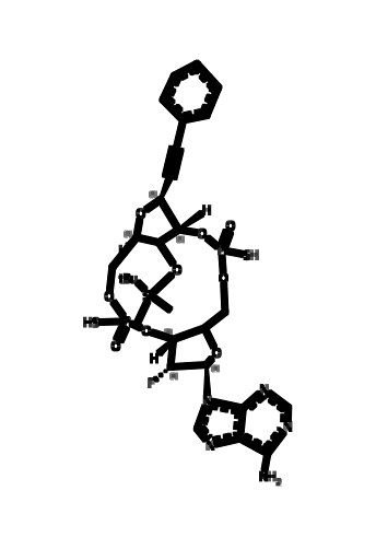 CC(C)(C)[Si](C)(C)OC1[C@H]2OP(=O)(S)OCC3O[C@@H](n4cnc5c(N)ncnc54)[C@H](F)[C@@H]3OP(=O)(S)OC[C@H]1O[C@H]2C#Cc1ccccc1